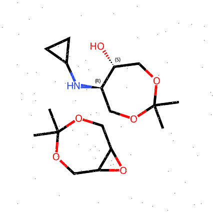 CC1(C)OCC2OC2CO1.CC1(C)OC[C@@H](O)[C@H](NC2CC2)CO1